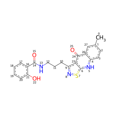 Cc1ccc2[nH]c3snc(CCCNC(=O)c4ccccc4O)c3c(=O)c2c1